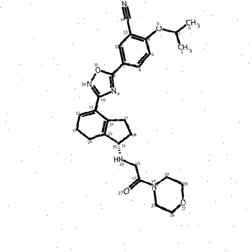 CC(C)Oc1ccc(-c2nc(C3=CCCC4=C3CC[C@@H]4NCC(=O)N3CCOCC3)no2)cc1C#N